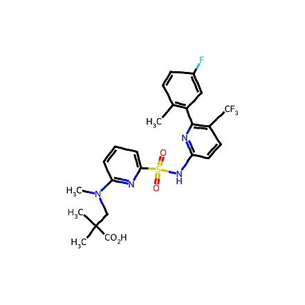 Cc1ccc(F)cc1-c1nc(NS(=O)(=O)c2cccc(N(C)CC(C)(C)C(=O)O)n2)ccc1C(F)(F)F